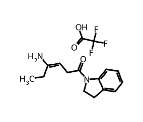 CC/C(N)=C\CC(=O)N1CCc2ccccc21.O=C(O)C(F)(F)F